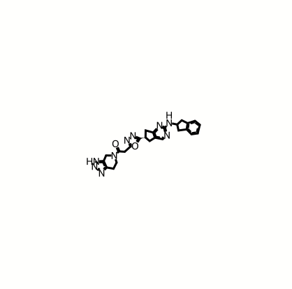 O=C(Cc1nnc([C@H]2Cc3cnc(NC4Cc5ccccc5C4)nc3C2)o1)N1CCc2nn[nH]c2C1